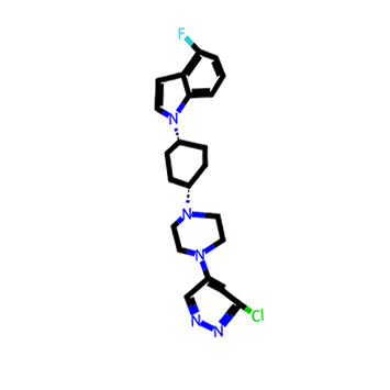 Fc1cccc2c1ccn2[C@H]1CC[C@@H](N2CCN(c3cnnc(Cl)c3)CC2)CC1